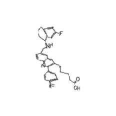 O=C(O)CCCCc1cc2cc(CN[C@@H]3CCCc4ccc(F)cc43)ccc2nc1-c1ccc(F)cc1